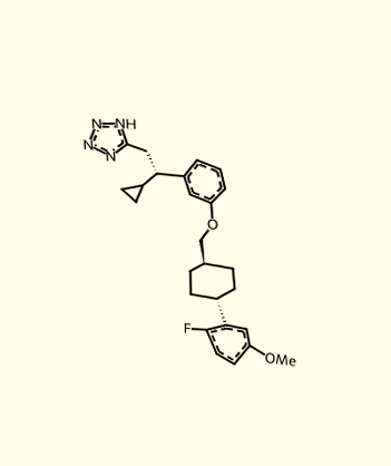 COc1ccc(F)c([C@H]2CC[C@H](COc3cccc([C@@H](Cc4nnn[nH]4)C4CC4)c3)CC2)c1